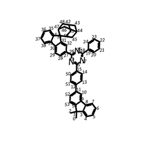 CC1(C)c2ccccc2-c2cc(-c3ccc(-c4nc(-c5ccccc5)nc(-c5ccc6c(c5)C5(c7ccccc7-6)C6CC7CC(C6)CC5C7)n4)cc3)ccc21